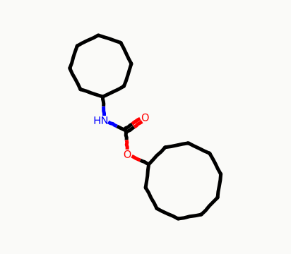 O=C(NC1CCCCCCC1)OC1CCCCCCCCC1